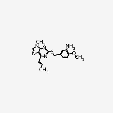 CC=Cc1nc(SCc2ccc(OC)c(N)c2)nc2c1ncn2C